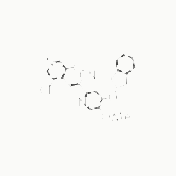 COc1cnc(/C(C#N)=C/c2c(Cl)cncc2Cl)cc1OC1Cc2ccccc2C1